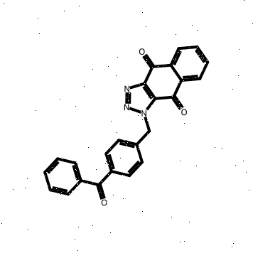 O=C(c1ccccc1)c1ccc(Cn2nnc3c2C(=O)c2ccccc2C3=O)cc1